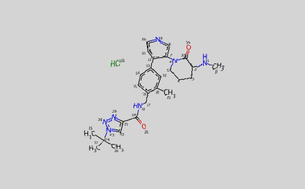 CNC1CCCN(c2cnccc2-c2ccc(CNC(=O)c3cn(C(C)(C)C)nn3)c(C)c2)C1=O.Cl